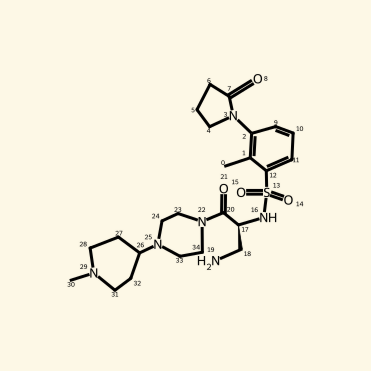 Cc1c(N2CCCC2=O)cccc1S(=O)(=O)N[C@@H](CN)C(=O)N1CCN(C2CCN(C)CC2)CC1